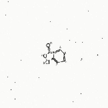 O=COCl.c1ccccc1